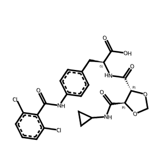 O=C(Nc1ccc(C[C@H](NC(=O)[C@@H]2OCO[C@H]2C(=O)NC2CC2)C(=O)O)cc1)c1c(Cl)cccc1Cl